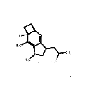 CC1=C2C(=CC3CC[C@@H]13)C(CC(C)C)CN2C